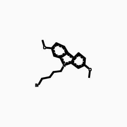 COc1ccc2c3ccc(OC)cc3n(CCCCBr)c2c1